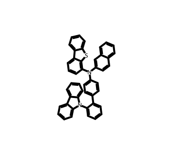 c1ccc(-n2c3ccccc3c3ccccc32)c(-c2ccc(N(c3ccc4ccccc4c3)c3cccc4c3sc3ccccc34)cc2)c1